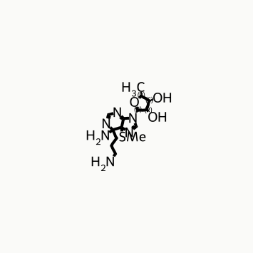 CSC12N=CN([C@@H]3O[C@H](C)[C@@H](O)[C@H]3O)C1=NC=NC2(N)CCCN